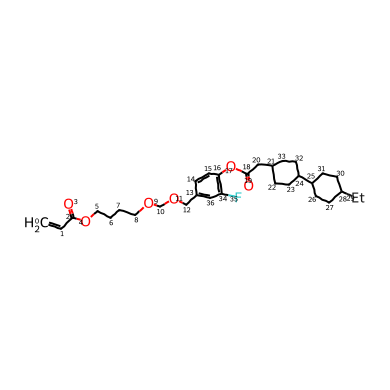 C=CC(=O)OCCCCOCOCc1ccc(OC(=O)CC2CCC(C3CCC(CC)CC3)CC2)c(F)c1